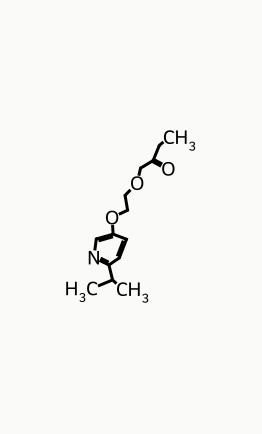 CCC(=O)COCCOc1ccc(C(C)C)nc1